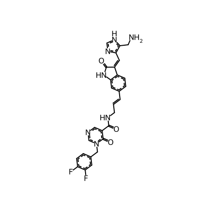 NCc1[nH]cnc1C=C1C(=O)Nc2cc(C=CCNC(=O)c3cncn(Cc4ccc(F)c(F)c4)c3=O)ccc21